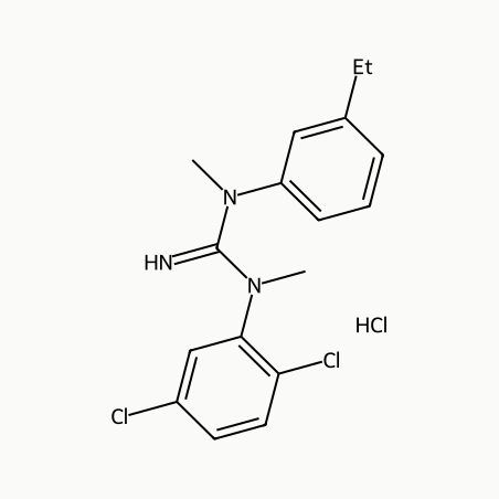 CCc1cccc(N(C)C(=N)N(C)c2cc(Cl)ccc2Cl)c1.Cl